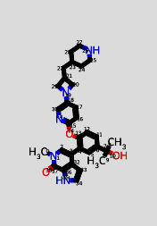 Cn1cc(-c2cc(C(C)(C)O)ccc2Oc2ccc(N3CC(CC4CCNCC4)C3)cn2)c2cc[nH]c2c1=O